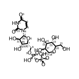 O=c1ccn([C@@H]2O[C@H](COP(=O)(O)OP(=O)(O)O[C@H]3OC(CO)[C@@H](O)[C@H](O)C3O)[C@H](O)C2O)c(=O)[nH]1